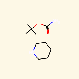 C1CCNCC1.CC(C)(C)OC(N)=O